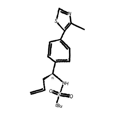 C=CC[C@H](NS(=O)(=O)C(C)(C)C)c1ccc(-c2scnc2C)cc1